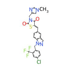 Cn1cnc(CN2C(=O)S/C(=C\c3ccc4c(cnn4Cc4ccc(Cl)cc4C(F)(F)F)c3)C2=O)c1